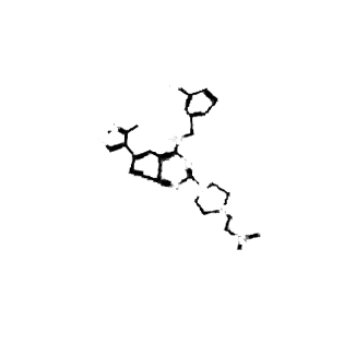 Cc1nocc1-c1ccc2nc(N3CCN(CCN(C)C)CC3)nc(NCc3cccc(Cl)c3)c2c1